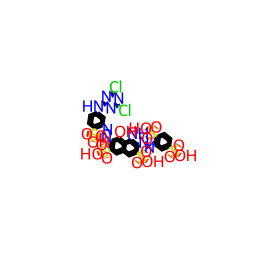 Nc1c(N=Nc2cc(S(=O)(=O)O)ccc2S(=O)(=O)O)c(S(=O)(=O)O)cc2cc(S(=O)(=O)O)c(N=Nc3cc(Nc4nc(Cl)nc(Cl)n4)ccc3S(=O)(=O)O)c(O)c12